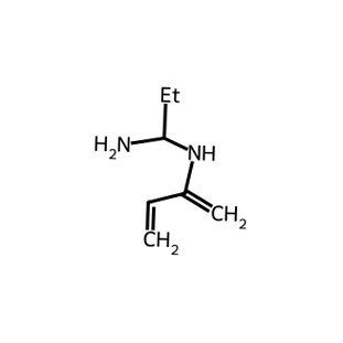 C=CC(=C)NC(N)CC